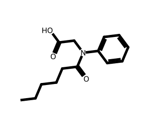 CCCCCC(=O)N(CC(=O)O)c1ccccc1